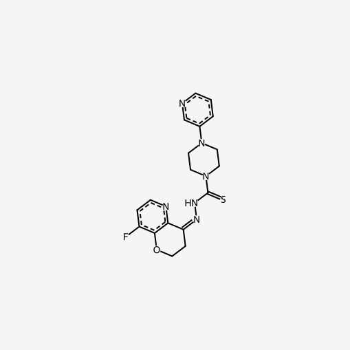 Fc1ccnc2c1OCC/C2=N/NC(=S)N1CCN(c2cccnc2)CC1